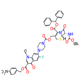 CC(C)(C)OC(=O)N[C@H]1C(=O)N2C(C(=O)OC(c3ccccc3)c3ccccc3)=C(COC(=O)N3CCN(c4cc5c(cc4F)c(=O)c(C(=O)OCc4ccc([N+](=O)[O-])cc4)cn5C4CC4)CC3)CS[C@@H]12